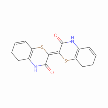 O=C1NC2=C(C=CCC2)S/C1=C1/SC2=C(C=CCC2)NC1=O